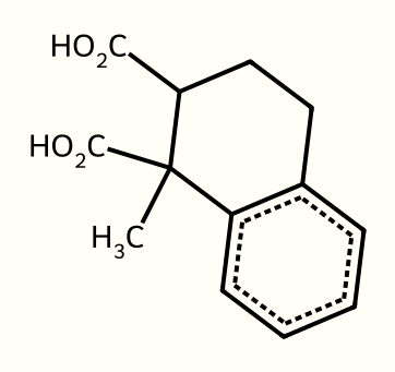 CC1(C(=O)O)c2ccccc2CCC1C(=O)O